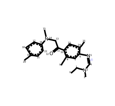 CCN(C)/C=N\c1cc(C)c(C(=O)CN(C)c2ccc(C)cc2)cc1C